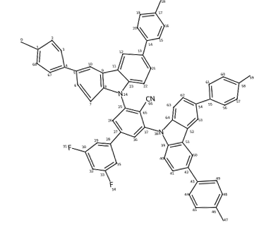 Cc1ccc(-c2ccc3c(c2)c2cc(-c4ccc(C)cc4)ccc2n3-c2cc(-c3cc(F)cc(F)c3)cc(-n3c4ccc(-c5ccc(C)cc5)cc4c4cc(-c5ccc(C)cc5)ccc43)c2C#N)cc1